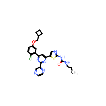 CCCNC(=O)Nc1ncc(-c2cc(-c3cc(OCC4CCC4)ccc3Cl)nc(-c3cnccn3)n2)s1